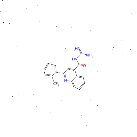 N=C(N)NC(=O)c1cc(-c2ccccc2C(F)(F)F)nc2ccccc12